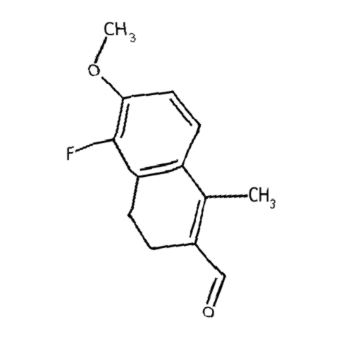 COc1ccc2c(c1F)CCC(C=O)=C2C